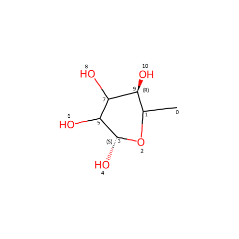 CC1O[C@H](O)C(O)C(O)[C@H]1O